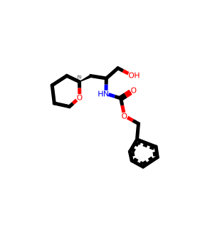 O=C(NC(CO)C[C@@H]1CCCCO1)OCc1ccccc1